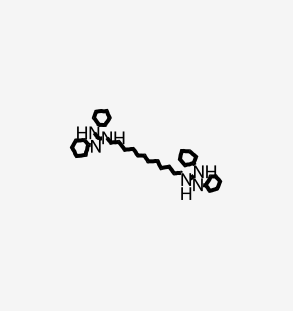 C(CCCCCCNC(=NC1CCCCC1)NC1CCCCC1)CCCCCNC(=NC1CCCCC1)NC1CCCCC1